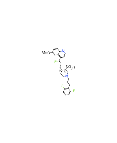 COc1ccc2nccc(C(F)CC[C@@H]3CCN(CCCc4c(F)cccc4F)C[C@@H]3C(=O)O)c2c1